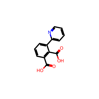 O=C(O)c1cccc(-c2ccccn2)c1C(=O)O